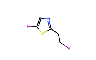 ICCc1ncc(I)s1